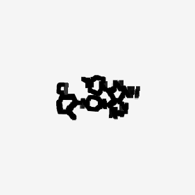 Cc1ccc(Cl)cc1N1CCN(c2ncnc3[nH]nc(N4CCN(C)CC4)c23)CC1